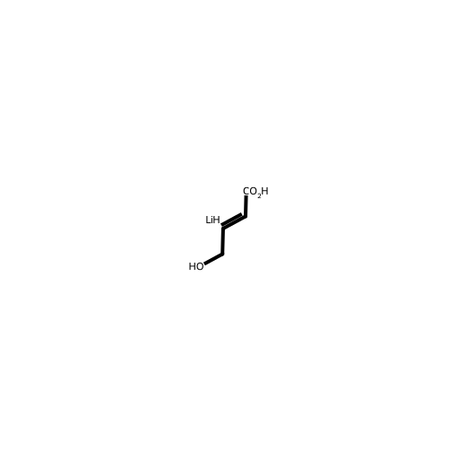 O=C(O)C=CCO.[LiH]